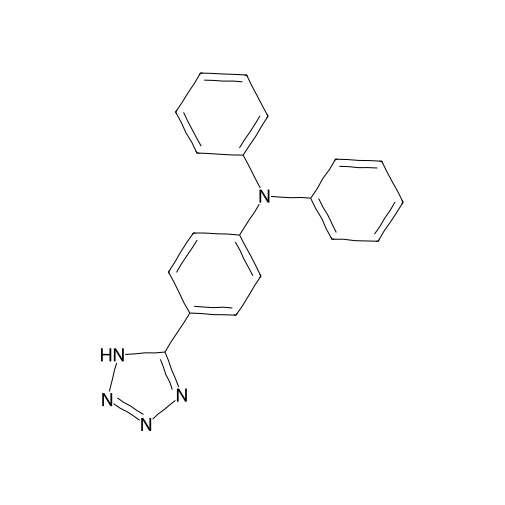 c1ccc(N(c2ccccc2)c2ccc(-c3nnn[nH]3)cc2)cc1